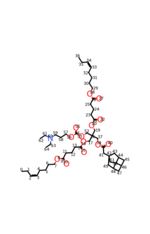 CC/C=C\CCCCOC(=O)CCCC(=O)OCC(COC(=O)CCCC(=O)OCCCC/C=C\CC)(COC(=O)CC12CC3CC4CC(C1)C43C2)COC(=O)OCCCN(CC)CC